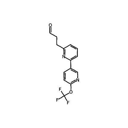 O=CCCc1cccc(-c2ccc(OC(F)(F)F)nc2)n1